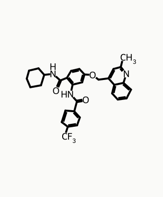 Cc1cc(COc2ccc(C(=O)NC3CCCCC3)c(NC(=O)c3ccc(C(F)(F)F)cc3)c2)c2ccccc2n1